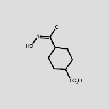 CCOC(=O)C1CCC(/C(Cl)=N\O)CC1